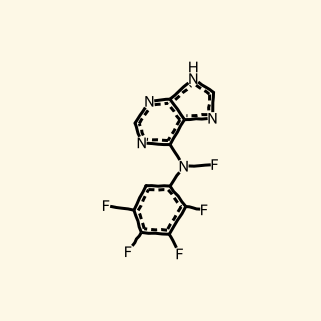 Fc1cc(N(F)c2ncnc3[nH]cnc23)c(F)c(F)c1F